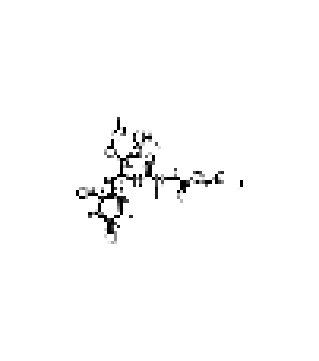 CCOC(=O)CNC(=O)NC(Cc1ccc(Cl)cc1Cl)C(OC)OC